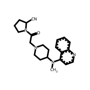 CN(c1ccnc2ccccc12)C1CCN(CC(=O)N2CCCC2C#N)CC1